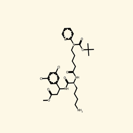 COC(=O)CC(NC(=O)[C@H](CCCCN)NC(=O)CCCCN(C(=O)OC(C)(C)C)c1ccccn1)c1cc(Cl)cc(Cl)c1